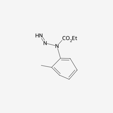 CCOC(=O)N(N=N)c1ccccc1C